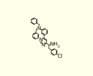 NC(Cc1ccc(Cl)cc1)c1cc(-c2cccc(N(Cc3ccccc3)Cc3ccccc3)c2)ncn1